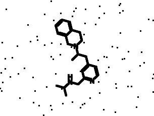 CC(C)NCc1cc(CC(C)N2CCc3ccccc3C2)ccn1